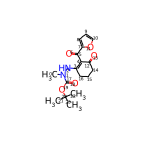 CN(NC1=C(C(=O)c2ccco2)C(=O)CCC1)C(=O)OC(C)(C)C